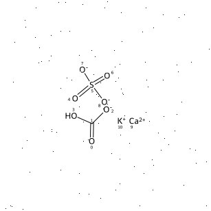 O=C([O-])O.O=S(=O)([O-])[O-].[Ca+2].[K+]